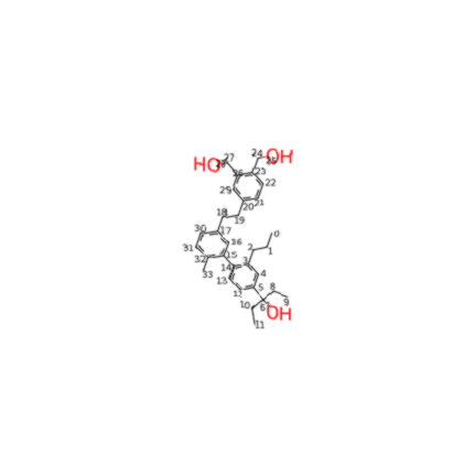 CCCc1cc(C(O)(CC)CC)ccc1-c1cc(CCc2ccc(CO)c(CO)c2)ccc1C